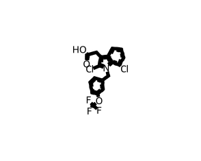 O=C(O)Cc1c(Cl)n(Cc2cccc(OC(F)(F)F)c2)c2c(Cl)cccc12